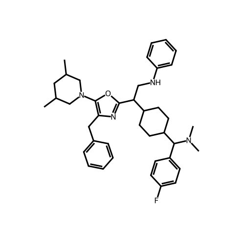 CC1CC(C)CN(c2oc(C(CNc3ccccc3)C3CCC(C(c4ccc(F)cc4)N(C)C)CC3)nc2Cc2ccccc2)C1